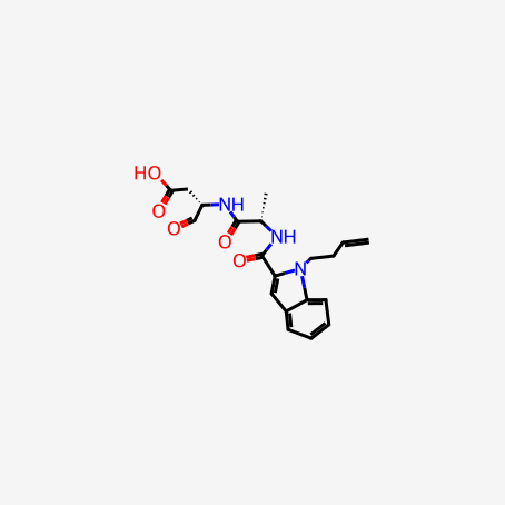 C=CCCn1c(C(=O)N[C@@H](C)C(=O)N[C@H](C=O)CC(=O)O)cc2ccccc21